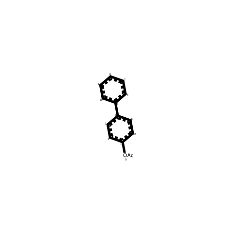 [CH2]C(=O)Oc1ccc(-c2ccccc2)cc1